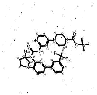 CC(C)(C)OC(=O)N1CCN(c2ccnc(NC(=O)N3c4nc(-c5cccc(C(F)(F)F)c5)ccc4N4CC[C@H]3C4)n2)CC1